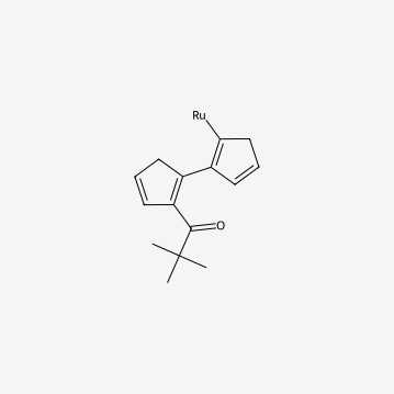 CC(C)(C)C(=O)C1=C(C2=[C]([Ru])CC=C2)CC=C1